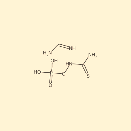 N=CN.NC(=S)NOP(=O)(O)O